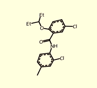 CCC(CC)Oc1ccc(Cl)cc1C(=O)Nc1ccc(C)cc1Cl